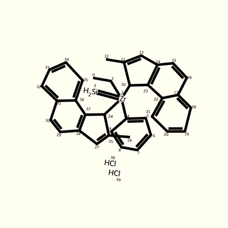 C[CH2][Zr](=[SiH2])([c]1ccccc1)([CH]1C(C)=Cc2ccc3ccccc3c21)[CH]1C(C)=Cc2ccc3ccccc3c21.Cl.Cl